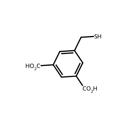 O=C(O)c1cc(CS)cc(C(=O)O)c1